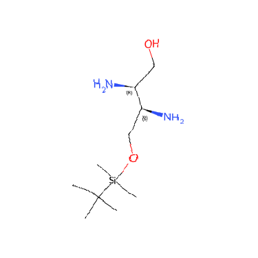 CC(C)(C)[Si](C)(C)OC[C@H](N)[C@@H](N)CO